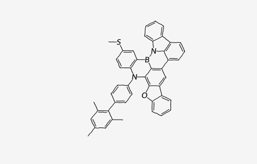 CSc1ccc2c(c1)B1c3c(cc4c(oc5ccccc54)c3N2c2ccc(-c3c(C)cc(C)cc3C)cc2)-c2cccc3c4ccccc4n1c23